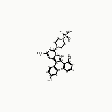 Cc1nc(N2CCN(S(=O)(=O)C(C)C)CC2)n2nc(-c3ccccc3Cl)c(-c3ccc(Cl)cc3)c2n1